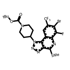 CSc1nc2c(F)c(Br)c(C(F)(F)F)cc2c2c1nnn2C1CCN(C(=O)OC(C)(C)C)CC1